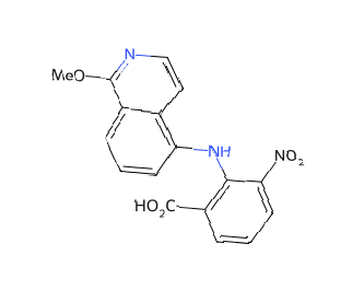 COc1nccc2c(Nc3c(C(=O)O)cccc3[N+](=O)[O-])cccc12